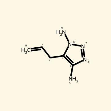 C=CCc1c(N)nnn1N